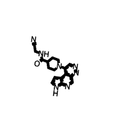 N#CCNC(=O)C1CCN(c2cnnc3cnc4[nH]ccc4c23)CC1